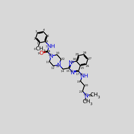 Cc1ccccc1NC(=O)N1CCN(Cc2nc(NCCCN(C)C)c3ccccc3n2)CC1